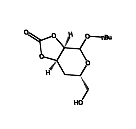 CCCCOC1O[C@H](CO)C[C@H]2OC(=O)O[C@@H]12